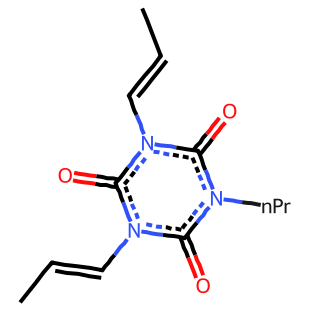 CC=Cn1c(=O)n(C=CC)c(=O)n(CCC)c1=O